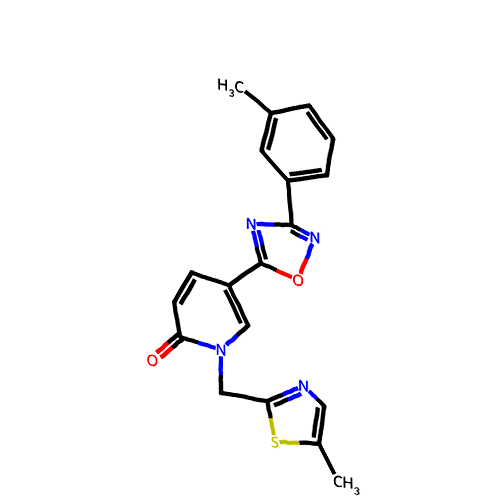 Cc1cccc(-c2noc(-c3ccc(=O)n(Cc4ncc(C)s4)c3)n2)c1